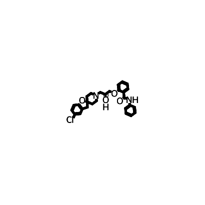 O=C(Nc1ccccc1)c1ccccc1OC[C@H](O)CN1CCC2(CC1)Cc1cc(Cl)ccc1O2